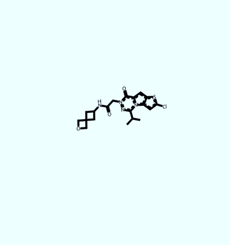 CC(C)c1nn(CC(=O)NC2CC3(COC3)C2)c(=O)c2cc3sc(Cl)cc3n12